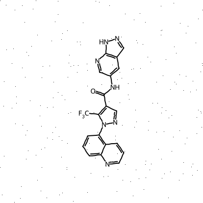 O=C(Nc1cnc2[nH]ncc2c1)c1cnn(-c2cccc3ncccc23)c1C(F)(F)F